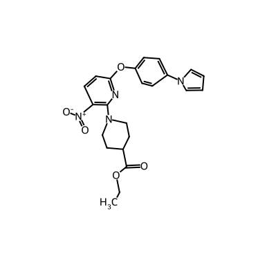 CCOC(=O)C1CCN(c2nc(Oc3ccc(-n4cccc4)cc3)ccc2[N+](=O)[O-])CC1